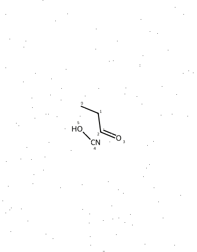 CCC=O.N#CO